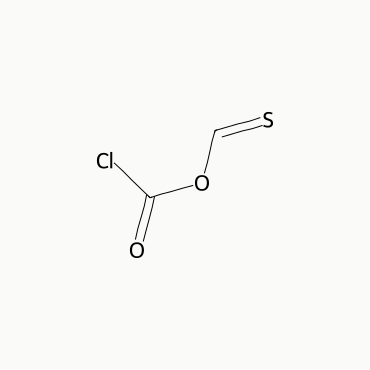 O=C(Cl)OC=S